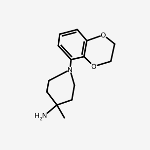 CC1(N)CCN(c2cccc3c2OCCO3)CC1